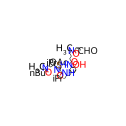 CCCCC(=O)N(C)C(CC(OC(C)=O)c1nc(C(=O)NC(Cc2ccc(O)c(NC(=O)CCCN(C)C(=O)/C=C\C=O)c2)CC(C)C)cs1)C(C)C